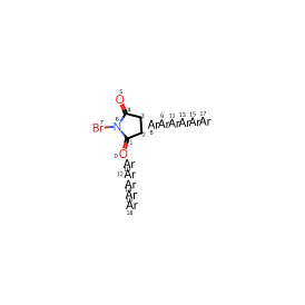 O=C1CCC(=O)N1Br.[Ar].[Ar].[Ar].[Ar].[Ar].[Ar].[Ar].[Ar].[Ar].[Ar].[Ar]